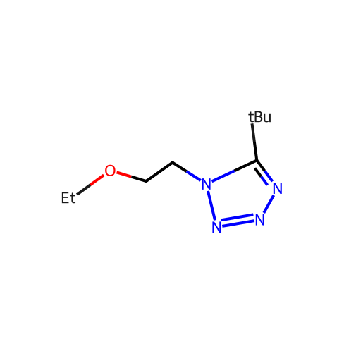 CCOCCn1nnnc1C(C)(C)C